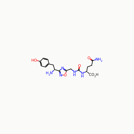 NC(=O)CC[C@H](NC(=O)NCc1nc([C@@H](N)Cc2ccc(O)cc2)no1)C(=O)O